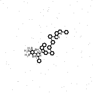 Bc1c(B)c(B)c(-c2nc(-c3ccccc3)nc(-n3c4ccc(-c5ccccc5-c5cccc(-c6cccc(-c7ccccc7-c7ccnc8c7ccc7ccc(-c9ccccc9)nc78)c6)c5)cc4c4c5ccccc5ccc43)n2)c(B)c1B